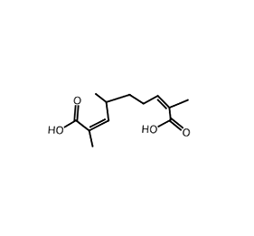 CC(=CCCC(C)C=C(C)C(=O)O)C(=O)O